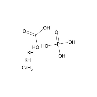 O=C(O)O.O=P(O)(O)O.[CaH2].[KH].[KH]